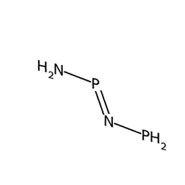 NP=NP